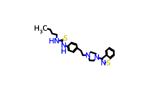 CCCCNC(=S)Nc1ccc(CCN2CCN(c3nsc4ccccc34)CC2)cc1